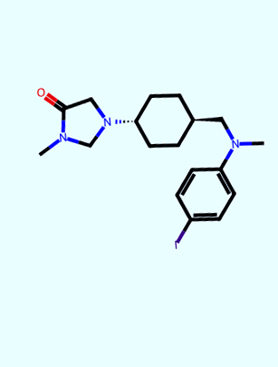 CN1CN([C@H]2CC[C@H](CN(C)c3ccc(I)cc3)CC2)CC1=O